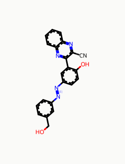 N#Cc1nc2ccccc2nc1-c1cc(/N=N/c2cccc(CO)c2)ccc1O